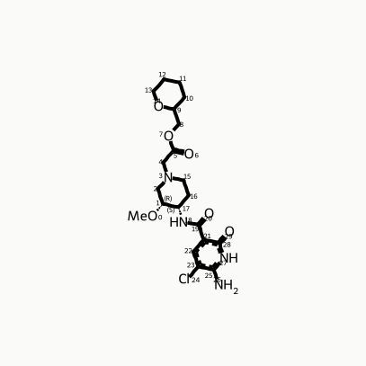 CO[C@@H]1CN(CC(=O)OCC2CCCCO2)CC[C@@H]1NC(=O)c1cc(Cl)c(N)[nH]c1=O